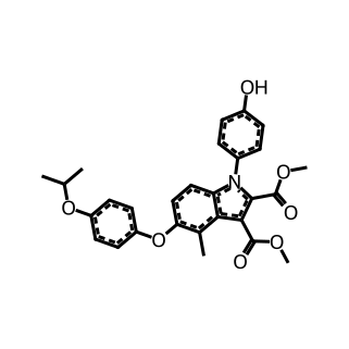 COC(=O)c1c(C(=O)OC)n(-c2ccc(O)cc2)c2ccc(Oc3ccc(OC(C)C)cc3)c(C)c12